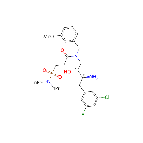 CCCN(CCC)S(=O)(=O)CCC(=O)N(Cc1cccc(OC)c1)C[C@@H](O)[C@@H](N)Cc1cc(F)cc(Cl)c1